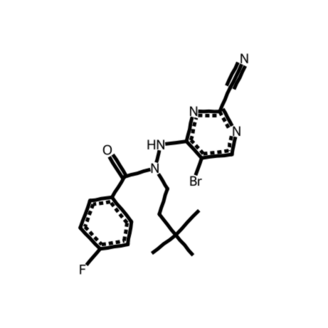 CC(C)(C)CCN(Nc1nc(C#N)ncc1Br)C(=O)c1ccc(F)cc1